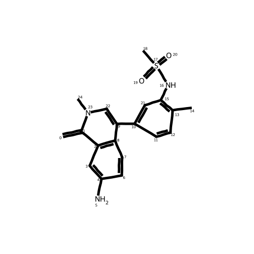 C=C1c2cc(N)ccc2C(c2ccc(C)c(NS(C)(=O)=O)c2)=CN1C